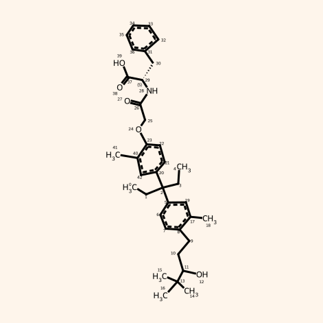 CCC(CC)(c1ccc(CCC(O)C(C)(C)C)c(C)c1)c1ccc(OCC(=O)N[C@@H](Cc2ccccc2)C(=O)O)c(C)c1